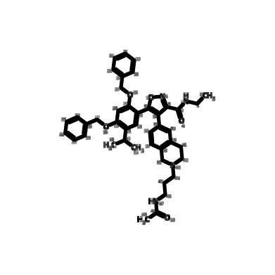 CCNC(=O)c1noc(-c2cc(C(C)C)c(OCc3ccccc3)cc2OCc2ccccc2)c1-c1ccc2c(c1)CCN(CCCNC(C)=O)C2